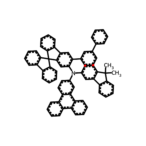 CC1(C)c2ccccc2-c2cc(N(c3ccc4c5ccccc5c5ccccc5c4c3)c3cc4c(cc3-c3cccc(-c5ccccc5)c3)-c3ccccc3C43c4ccccc4-c4ccccc43)ccc21